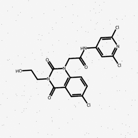 O=C(Cn1c(=O)n(CCO)c(=O)c2cc(Cl)ccc21)Nc1cc(Cl)nc(Cl)c1